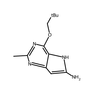 Cc1nc(OCC(C)(C)C)c2[nH]c(N)cc2n1